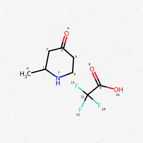 CC1CC(=O)CCN1.O=C(O)C(F)(F)F